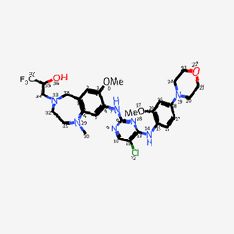 COc1cc2c(cc1Nc1ncc(Cl)c(Nc3ccc(N4CCOCC4)cc3OC)n1)N(C)CCN(CC(O)C(F)(F)F)C2